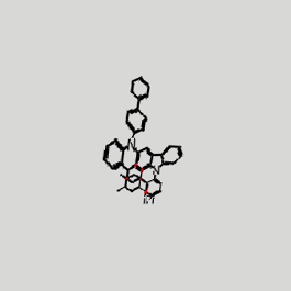 CC(C)C[C@H]1C[C@@H](C)C(C)CC12c1ccccc1-n1c3ccccc3c3cc(N(c4ccc(-c5ccccc5)cc4)c4ccccc4-c4ccccc4)cc2c31